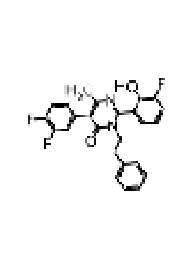 Cc1nc(-c2cccc(F)c2O)n(CCc2ccccc2)c(=O)c1-c1ccc(F)c(F)c1